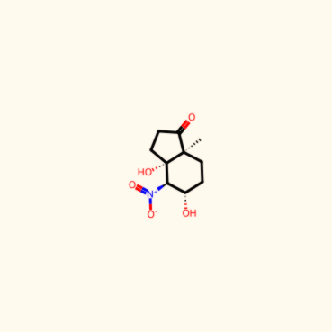 C[C@]12CC[C@H](O)[C@@H]([N+](=O)[O-])[C@@]1(O)CCC2=O